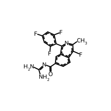 Cc1nc(-c2c(F)cc(F)cc2F)c2cc(C(=O)N=C(N)N)ccc2c1F